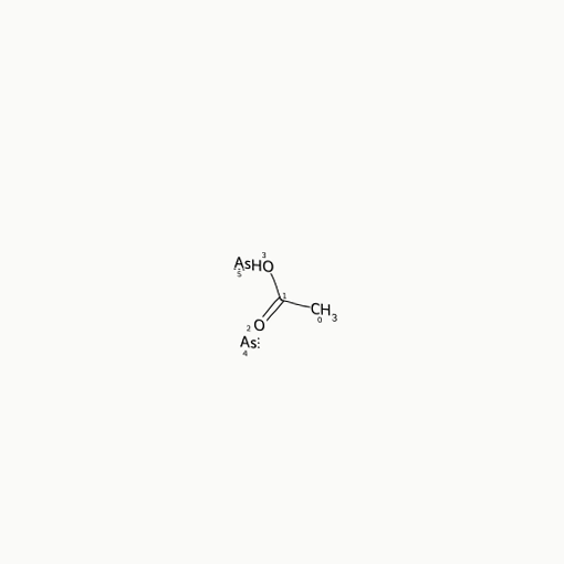 CC(=O)O.[As].[As]